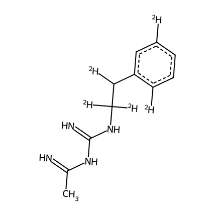 [2H]c1ccc([2H])c(C([2H])C([2H])([2H])NC(=N)NC(C)=N)c1